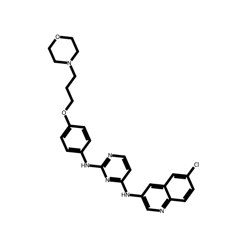 Clc1ccc2ncc(Nc3ccnc(Nc4ccc(OCCCN5CCOCC5)cc4)n3)cc2c1